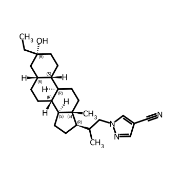 CC[C@@]1(O)CC[C@H]2[C@H](CC[C@@H]3[C@@H]2CC[C@]2(C)[C@@H](C(C)Cn4cc(C#N)cn4)CC[C@@H]32)C1